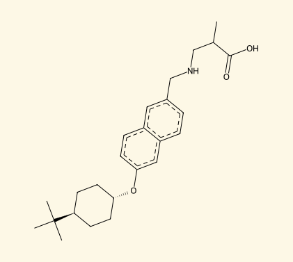 CC(CNCc1ccc2cc(O[C@H]3CC[C@H](C(C)(C)C)CC3)ccc2c1)C(=O)O